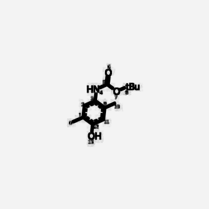 Cc1cc(NC(=O)OC(C)(C)C)c(C)cc1O